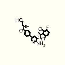 CC(Oc1cc(-c2ccc(C(=O)NCCO)cc2)cnc1N)c1c(Cl)ccc(F)c1Cl